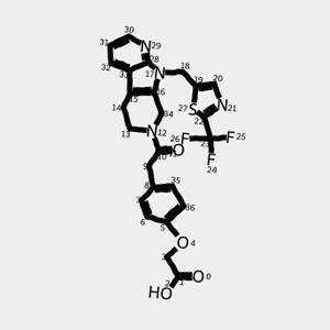 O=C(O)COc1ccc(CC(=O)N2CCc3c(n(Cc4cnc(C(F)(F)F)s4)c4ncccc34)C2)cc1